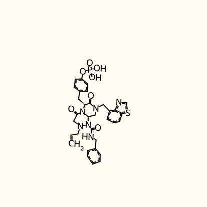 C=CCN1CC(=O)N2C(CN(Cc3cccc4scnc34)C(=O)[C@@H]2Cc2ccc(OP(=O)(O)O)cc2)N1C(=O)NCc1ccccc1